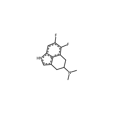 CN(C)C1Cc2c[nH]c3cc(F)c(F)c(c23)C1